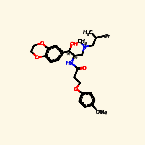 COc1ccc(OCCC(=O)N[C@H](CN(C)CC(C)C(C)C)[C@H](O)c2ccc3c(c2)OCCO3)cc1